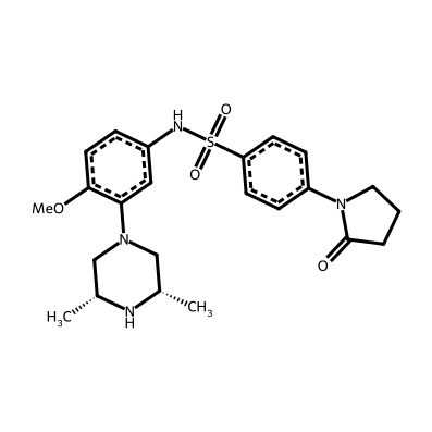 COc1ccc(NS(=O)(=O)c2ccc(N3CCCC3=O)cc2)cc1N1C[C@@H](C)N[C@@H](C)C1